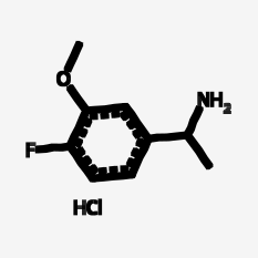 COc1cc(C(C)N)ccc1F.Cl